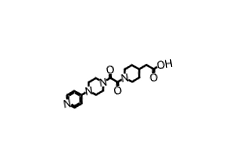 O=C(O)CC1CCN(C(=O)C(=O)N2CCN(c3ccncc3)CC2)CC1